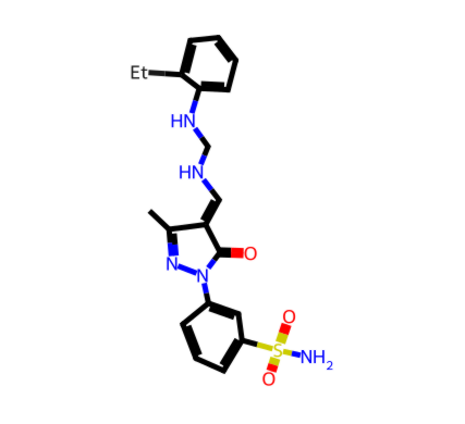 CCc1ccccc1NCNC=C1C(=O)N(c2cccc(S(N)(=O)=O)c2)N=C1C